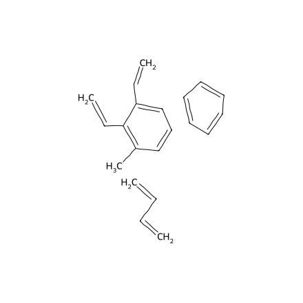 C=CC=C.C=Cc1cccc(C)c1C=C.c1ccccc1